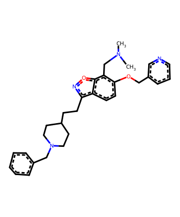 CN(C)Cc1c(OCc2cccnc2)ccc2c(CCC3CCN(Cc4ccccc4)CC3)noc12